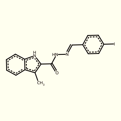 Cc1c(C(=O)NN=Cc2ccc(I)cc2)[nH]c2ccccc12